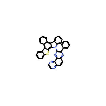 c1ccc(-c2nc3ccc4nccnc4c3nc2-n2c3ccccc3c3c4ccccc4c4c5ccccc5sc4c32)cc1